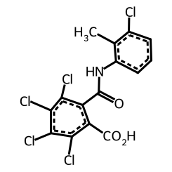 Cc1c(Cl)cccc1NC(=O)c1c(Cl)c(Cl)c(Cl)c(Cl)c1C(=O)O